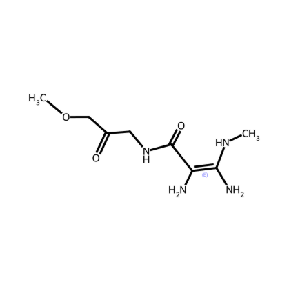 CN/C(N)=C(/N)C(=O)NCC(=O)COC